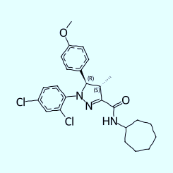 COc1ccc([C@H]2[C@H](C)C(C(=O)NC3CCCCCC3)=NN2c2ccc(Cl)cc2Cl)cc1